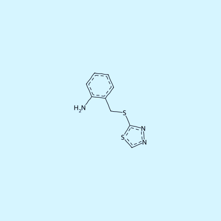 Nc1ccccc1CSc1nncs1